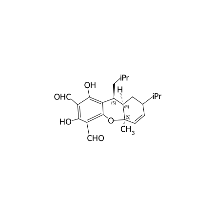 CC(C)C[C@@H]1c2c(O)c(C=O)c(O)c(C=O)c2O[C@]2(C)C=CC(C(C)C)C[C@H]12